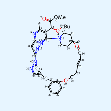 COC(=O)[C@@H](OC(C)(C)C)c1c(C)nc2cc3nn2c1N1CCC(C)(CC1)OC/C=C/CCOc1ccccc1Cc1cnn-3c1